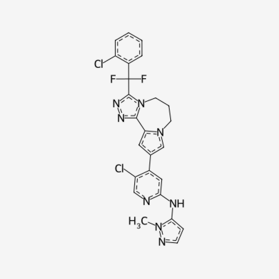 Cn1nccc1Nc1cc(-c2cc3n(c2)CCCn2c-3nnc2C(F)(F)c2ccccc2Cl)c(Cl)cn1